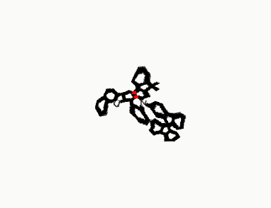 CC1(C)c2ccccc2-c2ccc(N(c3ccc4c(c3)C3(c5ccccc5-c5ccccc53)c3ccccc3-4)c3ccccc3-c3cccc4c3oc3c5ccccc5ccc43)cc21